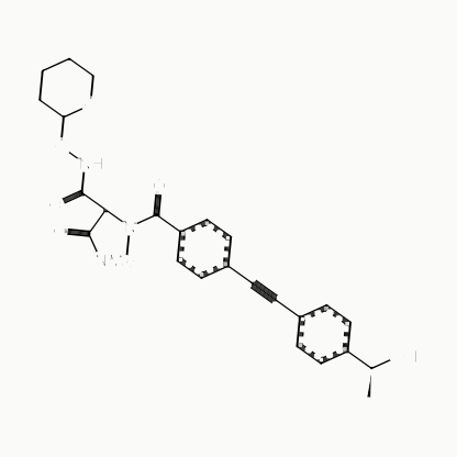 CNC(=O)[C@@](C)(C(=O)NOC1CCCCO1)N(C)C(=O)c1ccc(C#Cc2ccc([C@H](C)O)cc2)cc1